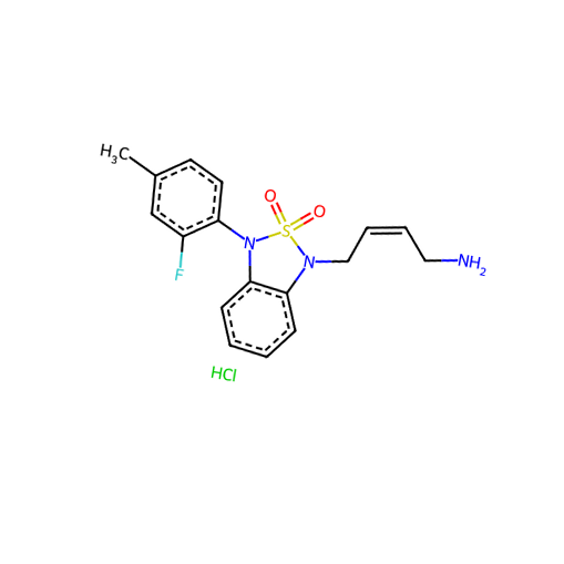 Cc1ccc(N2c3ccccc3N(C/C=C\CN)S2(=O)=O)c(F)c1.Cl